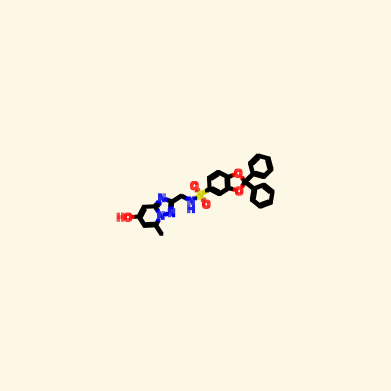 Cc1cc(O)cc2nc(CNS(=O)(=O)c3ccc4c(c3)OC(c3ccccc3)(c3ccccc3)O4)nn12